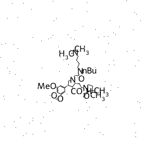 CCCCN(CCCCN(C)C)C(=O)CN1C[C@H](c2cc(OC)c3c(c2)OCO3)[C@@H](C(=O)O)[C@@H]1CCN1CCC(C)(C)C1=O